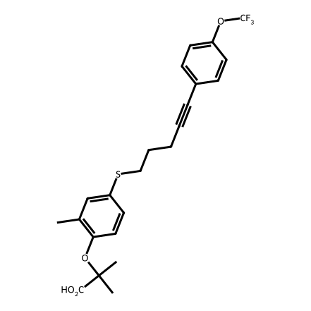 Cc1cc(SCCCC#Cc2ccc(OC(F)(F)F)cc2)ccc1OC(C)(C)C(=O)O